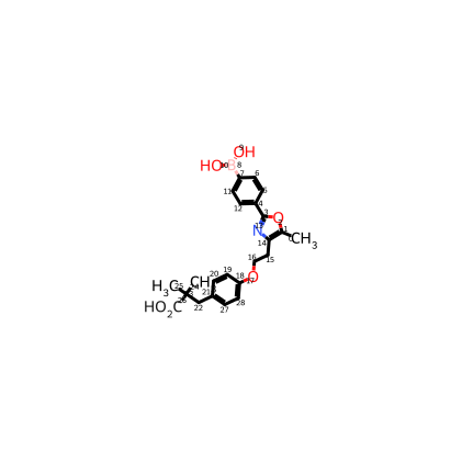 Cc1oc(-c2ccc(B(O)O)cc2)nc1CCOc1ccc(CC(C)(C)C(=O)O)cc1